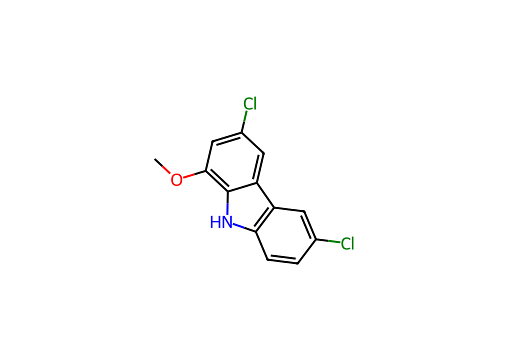 COc1cc(Cl)cc2c1[nH]c1ccc(Cl)cc12